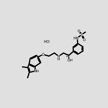 Cc1[nH]c2cc(OCCNC[C@H](O)c3cccc(NS(C)(=O)=O)c3)ccc2c1C.Cl